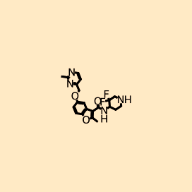 Cc1nccc(COc2ccc3oc(C)c(C(=O)NC4CCNCC4(F)F)c3c2)n1